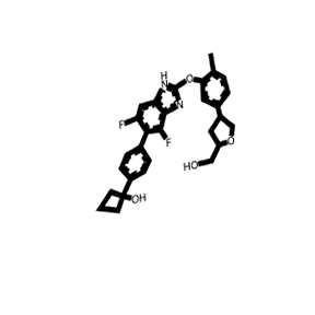 Cc1ccc(C2COC(CO)C2)cc1Oc1nc2c(F)c(-c3ccc(C4(O)CCC4)cc3)c(F)cc2[nH]1